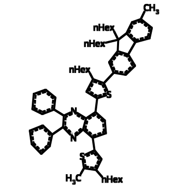 CCCCCCc1cc(-c2ccc(-c3cc(CCCCCC)c(-c4ccc5c(c4)C(CCCCCC)(CCCCCC)c4cc(C)ccc4-5)s3)c3nc(-c4ccccc4)c(-c4ccccc4)nc23)sc1C